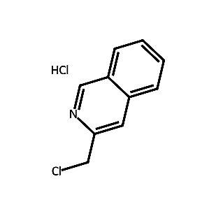 Cl.ClCc1cc2ccccc2cn1